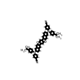 CC(C)c1ccc(N(c2ccc(C#N)cc2)c2ccc3cc4c(cc3c2)oc2cc3c(cc24)oc2cc4cc(N(c5ccc(C#N)cc5)c5ccc(C(C)C)cc5)ccc4cc23)cc1